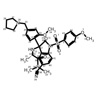 COc1ccc(S(=O)(=O)N2C(=O)C(N[C@@H](C)C(=O)N(C)C)(c3ccc(CN4CCCC4)cc3OC)c3cc(C#N)ccc32)cc1